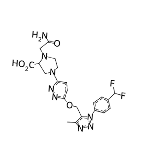 Cc1nnn(-c2ccc(C(F)F)cc2)c1COc1ccc(N2CCN(CC(N)=O)C(C(=O)O)C2)nn1